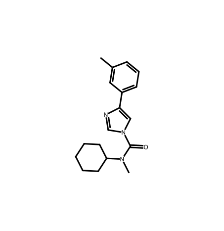 Cc1cccc(-c2cn(C(=O)N(C)C3CCCCC3)cn2)c1